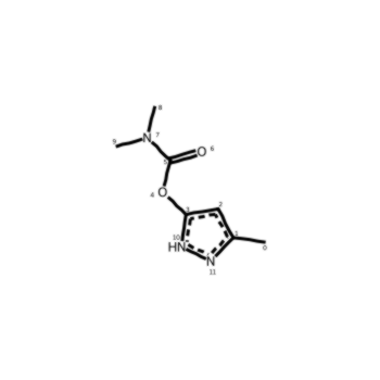 Cc1cc(OC(=O)N(C)C)[nH]n1